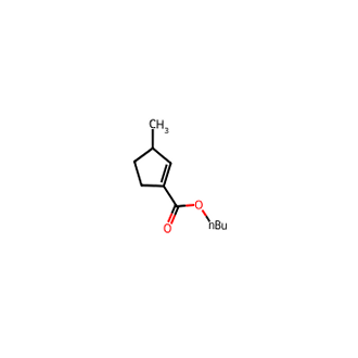 CCCCOC(=O)C1=CC(C)CC1